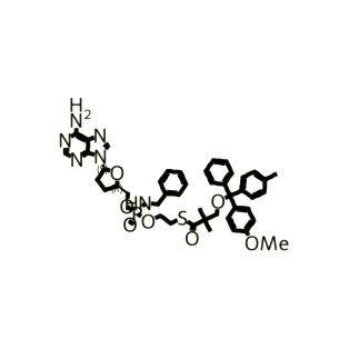 COc1ccc(C(OCC(C)(C)C(=O)SCCOP(=O)(NCc2ccccc2)OC[C@H]2CC[C@@H](n3cnc4c(N)ncnc43)O2)(c2ccccc2)c2ccc(C)cc2)cc1